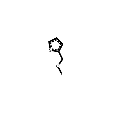 IOCc1cccs1